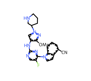 COc1nn(C2CCCNC2)cc1Nc1ncc(F)c(-n2ccc3c(C#N)cccc32)n1